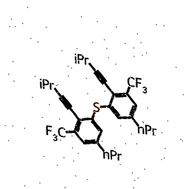 CCCc1cc(Sc2cc(CCC)cc(C(F)(F)F)c2C#CC(C)C)c(C#CC(C)C)c(C(F)(F)F)c1